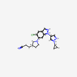 N#CCC[C@@H]1CCN(c2cc3c(cnn3-c3cnn(C4CC4)c3)cc2Cl)C1